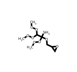 COOC(OOC)C([SiH3])(OCC1CO1)OOC